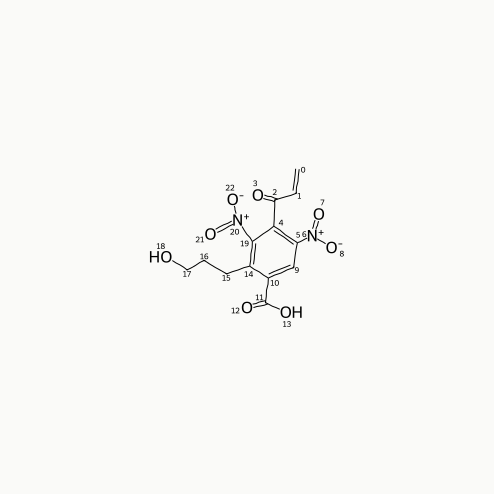 C=CC(=O)c1c([N+](=O)[O-])cc(C(=O)O)c(CCCO)c1[N+](=O)[O-]